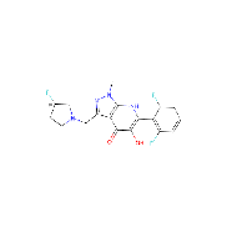 Cn1nc(CN2CC[C@H](F)C2)c2c(=O)c(O)c(-c3c(F)cccc3F)[nH]c21